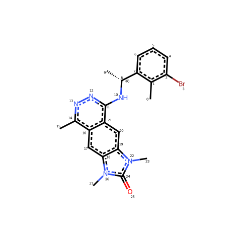 Cc1c(Br)cccc1[C@@H](C)Nc1nnc(C)c2cc3c(cc12)n(C)c(=O)n3C